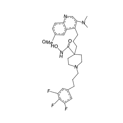 COc1ccc2ncc(N(C)C)c(CCCC3(C(=O)NO)CCN(CCCc4cc(F)c(F)c(F)c4)CC3)c2c1